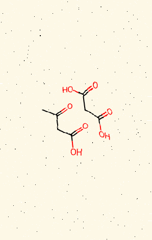 CC(=O)CC(=O)O.O=C(O)CC(=O)O